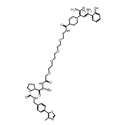 Cc1ncsc1-c1ccc(CNC(=O)[C@@H]2CCCN2C(=O)[C@@H](NC(=O)COCCOCCOCCOCCNC(=O)C2CCN(C(/C=C(\N)c3ccccc3O)=C(N)N)CC2)C(C)(C)C)cc1